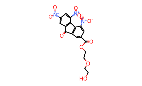 O=C(OCCOCCO)c1cc2c(c([N+](=O)[O-])c1)-c1c(cc([N+](=O)[O-])cc1[N+](=O)[O-])C2=O